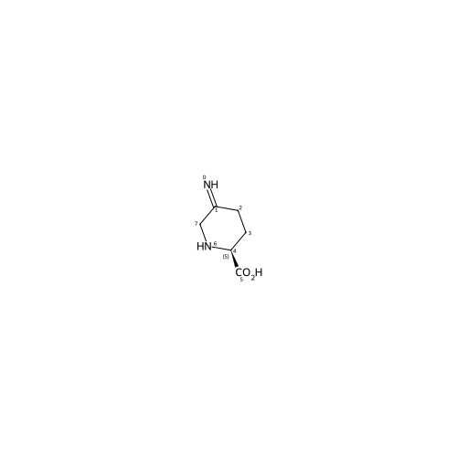 N=C1CC[C@@H](C(=O)O)NC1